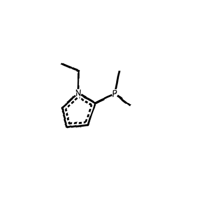 CCn1cccc1P(C)C